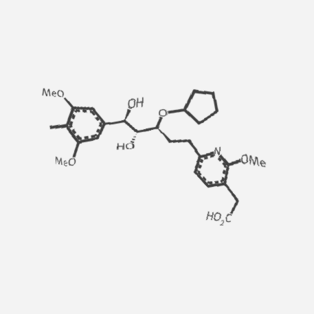 COc1cc([C@@H](O)[C@@H](O)[C@H](CCc2ccc(CC(=O)O)c(OC)n2)OC2CCCC2)cc(OC)c1C